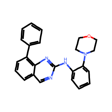 c1ccc(-c2cccc3cnc(Nc4ccccc4N4CCOCC4)nc23)cc1